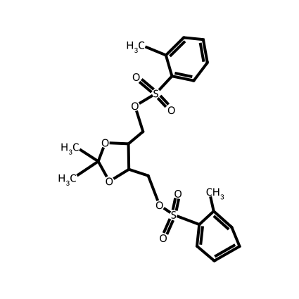 Cc1ccccc1S(=O)(=O)OCC1OC(C)(C)OC1COS(=O)(=O)c1ccccc1C